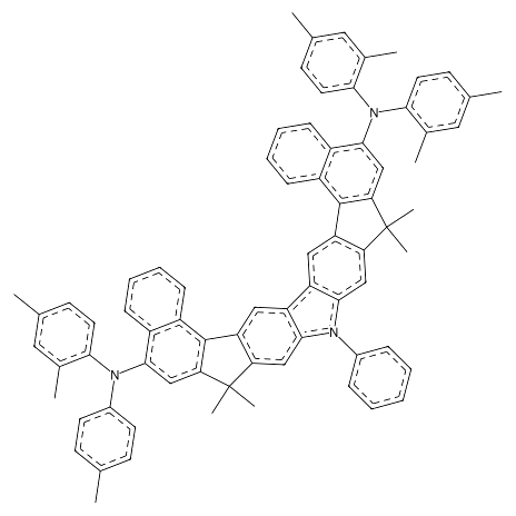 Cc1ccc(N(c2ccc(C)cc2C)c2cc3c(c4ccccc24)-c2cc4c5cc6c(cc5n(-c5ccccc5)c4cc2C3(C)C)C(C)(C)c2cc(N(c3ccc(C)cc3C)c3ccc(C)cc3C)c3ccccc3c2-6)cc1